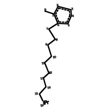 Cc1ccccc1CCCCCCCCCC(C)C